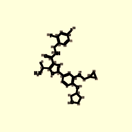 C[C@H](N)c1oc(-c2ccc(OC3CCOC3)c(OCC3CC3)c2)nc1C(=O)NCc1ccc(F)cc1F